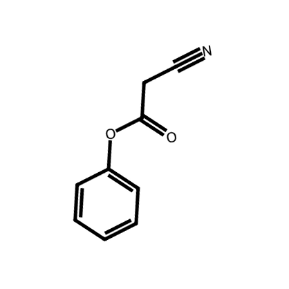 N#CCC(=O)Oc1ccccc1